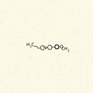 CCCCC1CCN(C2CCC(c3ccc(OC)cc3)CC2)CC1